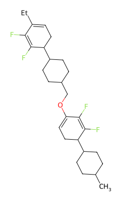 CCC1=CCC(C2CCC(COC3=CCC(C4CCC(C)CC4)C(F)=C3F)CC2)C(F)=C1F